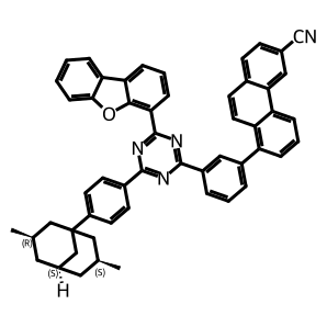 C[C@@H]1C[C@@H]2C[C@H](C)CC(c3ccc(-c4nc(-c5cccc(-c6cccc7c6ccc6ccc(C#N)cc67)c5)nc(-c5cccc6c5oc5ccccc56)n4)cc3)(C1)C2